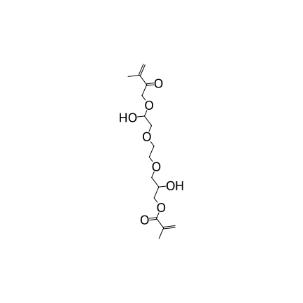 C=C(C)C(=O)COC(O)COCCOCC(O)COC(=O)C(=C)C